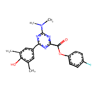 Cc1cc(-c2nc(C(=O)Oc3ccc(F)cc3)nc(N(C)C)n2)cc(C)c1O